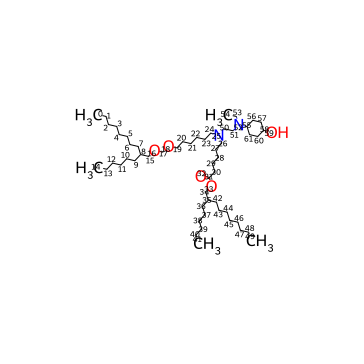 CCCCCCCCC(CCCCCC)COCOCCCCCCN(CCCCCC(=O)OCC(CCCCCC)CCCCCCCC)CCN(CC)C1CCC(O)CC1